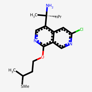 CCC[C@](C)(N)c1cnc(OCCC(C)SC)c2cnc(Cl)cc12